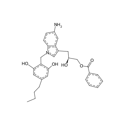 CCCCc1cc(O)c(Cn2cc(C[C@H](O)COC(=O)c3ccccc3)c3cc(N)ccc32)c(O)c1